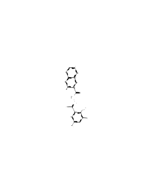 C/C(=N\NC(=O)c1cc2ccccc2cc1O)c1cc(Cl)cc(Cl)c1O